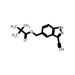 C#Cc1n[nH]c2ccc(COC(=O)C(C)(C)C)cc12